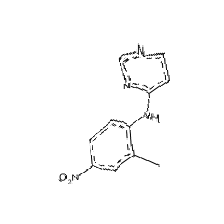 Cc1cc([N+](=O)[O-])ccc1Nc1ccncn1